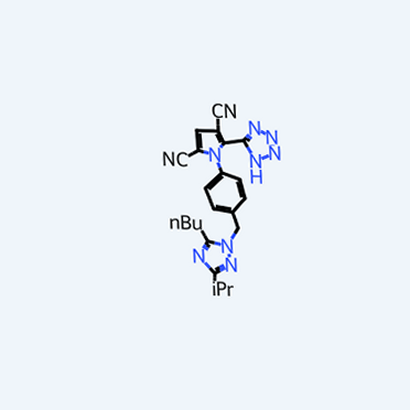 CCCCc1nc(C(C)C)nn1Cc1ccc(-n2c(C#N)cc(C#N)c2-c2nnn[nH]2)cc1